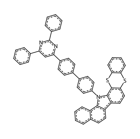 c1ccc(-c2cc(-c3ccc(-c4ccc(-n5c6c7c(ccc6c6ccc8ccccc8c65)Sc5ccccc5S7)cc4)cc3)nc(-c3ccccc3)n2)cc1